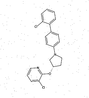 Clc1ccccc1-c1c[c]c(N2CC[C@H](Oc3ncccc3Cl)C2)cc1